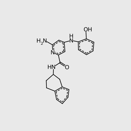 Nc1cc(Nc2ccccc2O)cc(C(=O)NC2CCc3ccccc3C2)n1